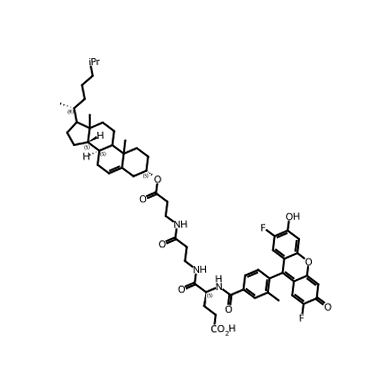 Cc1cc(C(=O)N[C@@H](CCC(=O)O)C(=O)NCCC(=O)NCCC(=O)O[C@H]2CCC3(C)C(=CC[C@@H]4C3CCC3(C)C([C@H](C)CCCC(C)C)CC[C@@H]43)C2)ccc1-c1c2cc(F)c(=O)cc-2oc2cc(O)c(F)cc12